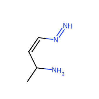 CC(N)/C=C\N=N